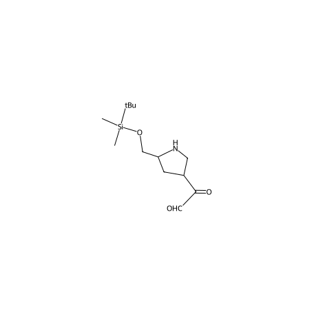 CC(C)(C)[Si](C)(C)OCC1CC(C(=O)C=O)CN1